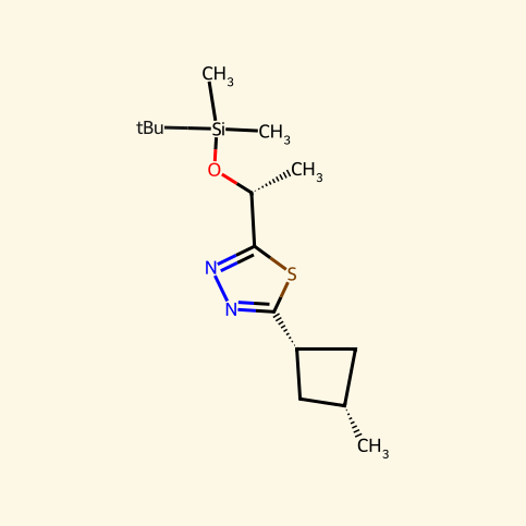 C[C@@H](O[Si](C)(C)C(C)(C)C)c1nnc([C@H]2C[C@@H](C)C2)s1